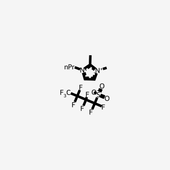 CCCn1cc[n+](C)c1C.O=S(=O)([O-])C(F)(F)C(F)(F)C(F)(F)C(F)(F)F